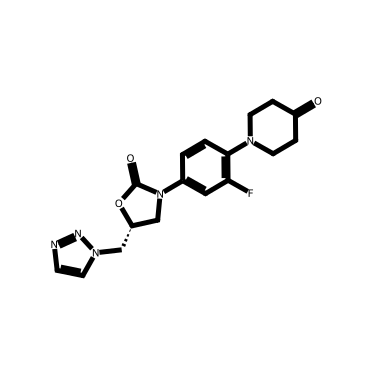 O=C1CCN(c2ccc(N3C[C@H](Cn4ccnn4)OC3=O)cc2F)CC1